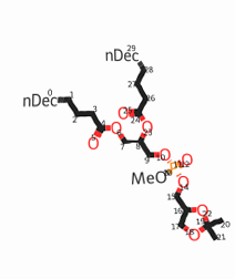 CCCCCCCCCCCCCC(=O)OC[C@H](COP(=O)(OC)OCC1COC(C)(C)O1)OC(=O)CCCCCCCCCCCCC